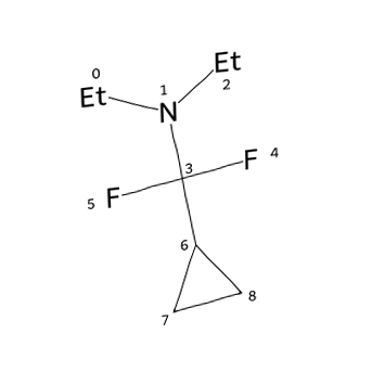 CCN(CC)C(F)(F)C1CC1